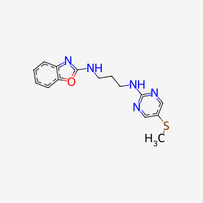 CSc1cnc(NCCCNc2nc3ccccc3o2)nc1